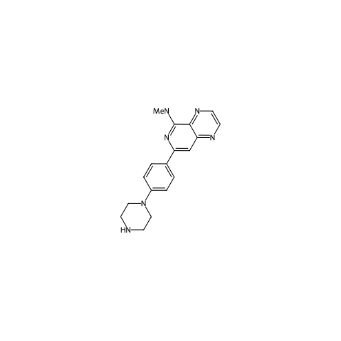 CNc1nc(-c2ccc(N3CCNCC3)cc2)cc2nccnc12